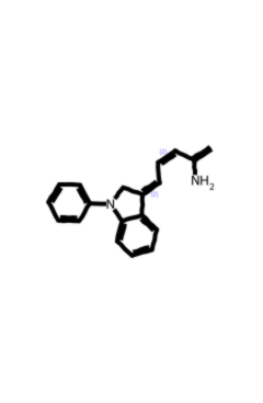 C=C(N)/C=C\C=C1/CN(c2ccccc2)c2ccccc21